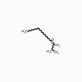 CCCCCCCC/C=C\CCCCCCCCCCCC(=O)OCC(C)CCCC(C)CC